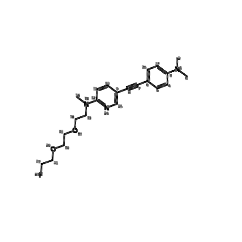 CN(C)c1ccc(C#Cc2ccc(N(C)CCOCCOCCF)nc2)cc1